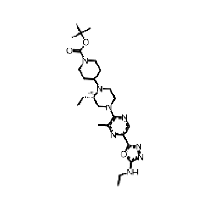 CCNc1nnc(-c2cnc(N3CCN(C4CCN(C(=O)OC(C)(C)C)CC4)[C@@H](CC)C3)c(C)n2)o1